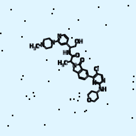 CC(C(=O)NC(CO)c1ccnc(N2CCN(C)CC2)c1)N1Cc2ccc(-c3nc(NC4CCOCC4)ncc3Cl)cc2C1=O